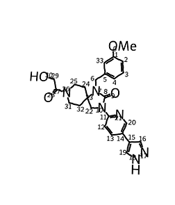 COc1cccc(CN2C(=O)N(c3ccc(-c4cn[nH]c4)cn3)CC23CCN(C(=O)CO)CC3)c1